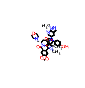 Cc1c(C(=O)N(c2ccc(O)cc2)c2cnc3c(cnn3C)c2)cc(-c2cc3c(cc2C(=O)N2Cc4ccccc4C[C@H]2CN2CCOCC2)OCO3)n1C